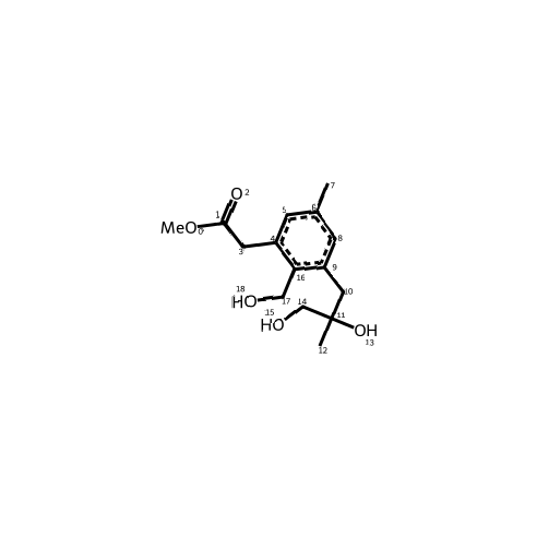 COC(=O)Cc1cc(C)cc(CC(C)(O)CO)c1CO